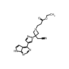 CCOC(=O)CCN1CC(CC#N)(n2cc(-c3ncnc4[nH]ccc34)cn2)C1